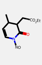 CCOC(=O)CC1C(=O)N(N=O)C=CC1C